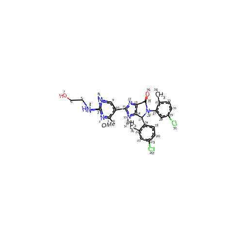 COc1nc(NCCO)ncc1-c1nc2c(n1C(C)C)C(c1ccc(Cl)cc1C)N(c1cc(Cl)ccc1C)C2=O